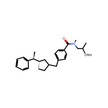 COC(C)CN(C)C(=O)c1ccc(CC2CC[C@H]([C@H](C)c3ccccc3)C2)cc1